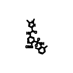 COc1ncc(NC(=O)c2cc(C)n(C)n2)cc1S(=O)(=O)Nc1c(C)cccc1C